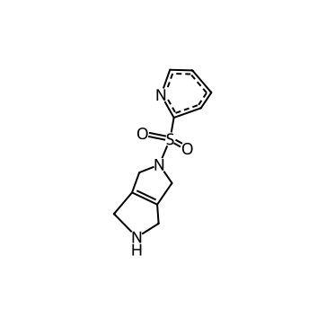 O=S(=O)(c1ccccn1)N1CC2=C(CNC2)C1